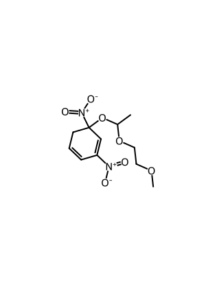 COCCOC(C)OC1([N+](=O)[O-])C=C([N+](=O)[O-])C=CC1